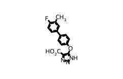 Cc1cc(-c2ccc(Oc3[nH]nnc3C(=O)O)cc2)ccc1F